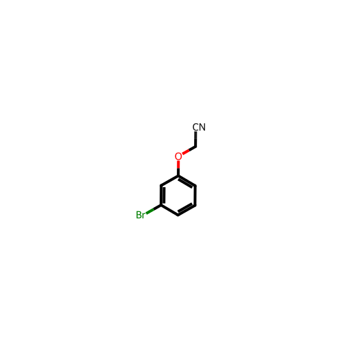 N#CCOc1cccc(Br)c1